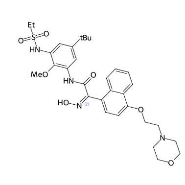 CCS(=O)(=O)Nc1cc(C(C)(C)C)cc(NC(=O)/C(=N\O)c2ccc(OCCN3CCOCC3)c3ccccc23)c1OC